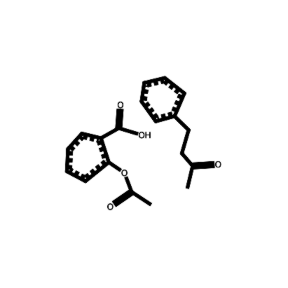 CC(=O)CCc1ccccc1.CC(=O)Oc1ccccc1C(=O)O